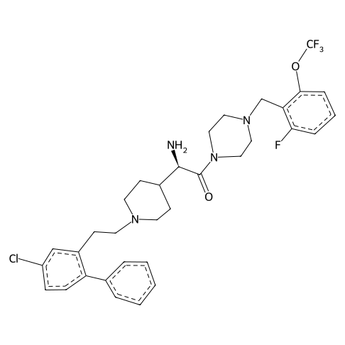 N[C@@H](C(=O)N1CCN(Cc2c(F)cccc2OC(F)(F)F)CC1)C1CCN(CCc2cc(Cl)ccc2-c2ccccc2)CC1